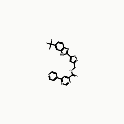 O=C(NCc1cc(-c2nc3ccc(C(F)(F)F)cc3[nH]2)on1)c1cc(-c2ccncc2)ncn1